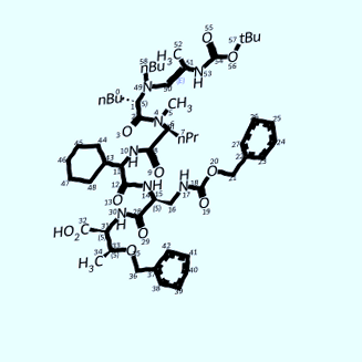 CCCC[C@@H](C(=O)N(C)[C@@H](CCC)C(=O)NC(C(=O)N[C@@H](CNC(=O)OCc1ccccc1)C(=O)N[C@H](C(=O)O)[C@H](C)OCc1ccccc1)C1CCCCC1)N(/C=C(\C)NC(=O)OC(C)(C)C)CCCC